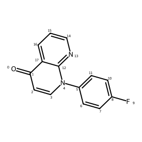 O=c1ccn(-c2ccc(F)cc2)c2ncccc12